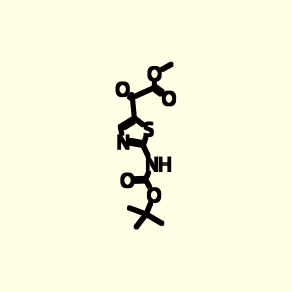 COC(=O)C(=O)c1cnc(NC(=O)OC(C)(C)C)s1